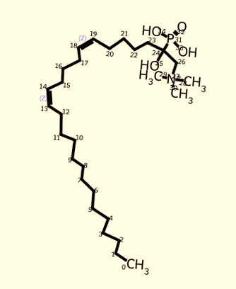 CCCCCCCCCCCCC/C=C\CCC/C=C\CCCCC(O)(C[N+](C)(C)C)P(=O)(O)O